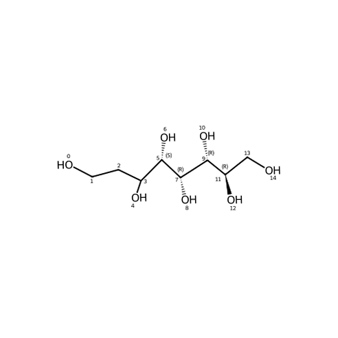 OCCC(O)[C@H](O)[C@@H](O)[C@H](O)[C@H](O)CO